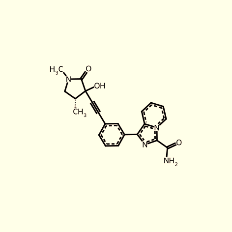 C[C@@H]1CN(C)C(=O)C1(O)C#Cc1cccc(-c2nc(C(N)=O)n3ccccc23)c1